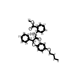 CCCCOc1ccc(OC(C(=O)Nc2ccccc2C(=O)OC)c2ccccc2)cc1